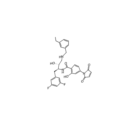 CCc1cccc(CNC[C@@H](O)[C@H](Cc2cc(F)cc(F)c2)NC(=O)c2ccc(N3C(=O)C=CC3=O)cc2O)c1